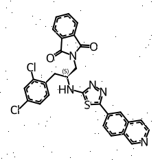 O=C1c2ccccc2C(=O)N1C[C@H](Cc1ccc(Cl)cc1Cl)Nc1nnc(-c2ccc3cnccc3c2)s1